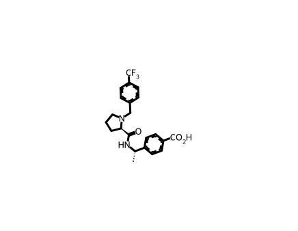 C[C@H](NC(=O)[C@H]1CCCN1Cc1ccc(C(F)(F)F)cc1)c1ccc(C(=O)O)cc1